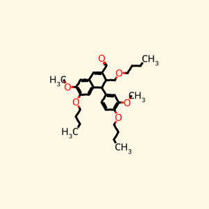 CCCCOCC1C(C=O)=Cc2cc(OC)c(OCCCC)cc2C1c1ccc(OCCCC)c(OC)c1